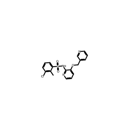 Cc1c(Cl)cccc1S(=O)(=O)Nc1ncccc1OCc1cccnc1